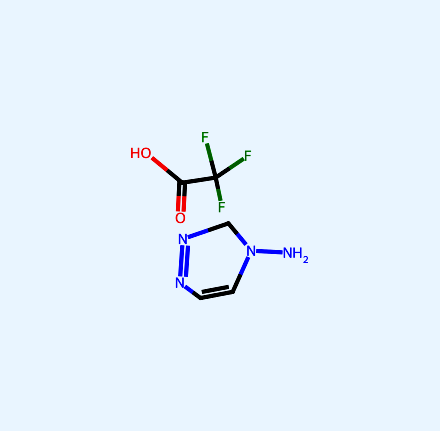 NN1C=CN=NC1.O=C(O)C(F)(F)F